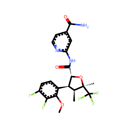 COc1c([C@H]2[C@H](C(=O)Nc3cc(C(N)=O)ccn3)O[C@@](C)(C(F)(F)F)[C@H]2C)ccc(F)c1F